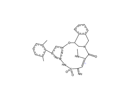 CN/C1=C\C(=N)S(=O)(=O)Nc2nc(cc(-c3c(C)cccc3C)n2)OC2CN(Cc3ccccc32)C1=O